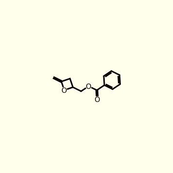 C=C1CC(COC(=O)c2ccccc2)O1